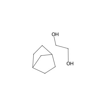 C1CC2CCC1C2.OCCO